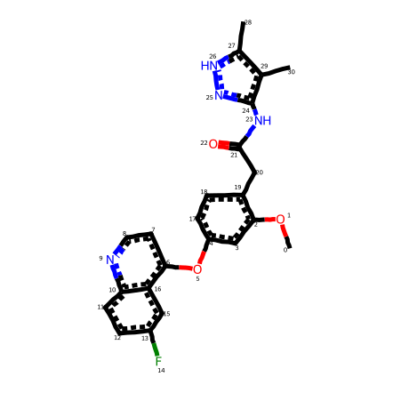 COc1cc(Oc2ccnc3ccc(F)cc23)ccc1CC(=O)Nc1n[nH]c(C)c1C